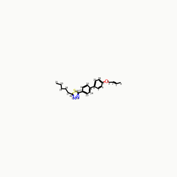 C/C=C/COc1ccc(-c2ccc(-c3nnc(CCCCC)s3)cc2)cc1